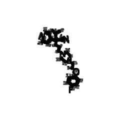 CC(C)C(C#N)(CCCN1CCN(CCOc2ccc(F)cc2)CC1)c1ccncc1